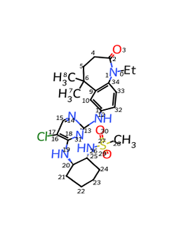 CCN1C(=O)CCC(C)(C)c2cc(Nc3ncc(Cl)c(N[C@@H]4CCCC[C@H]4NS(C)(=O)=O)n3)ccc21